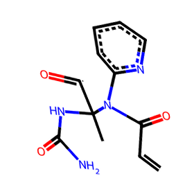 C=CC(=O)N(c1ccccn1)C(C)([C]=O)NC(N)=O